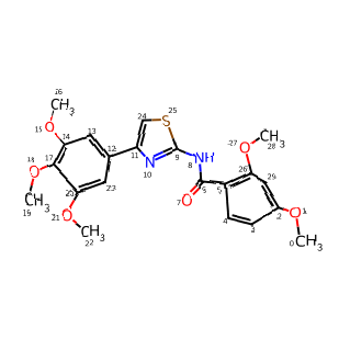 COc1ccc(C(=O)Nc2nc(-c3cc(OC)c(OC)c(OC)c3)cs2)c(OC)c1